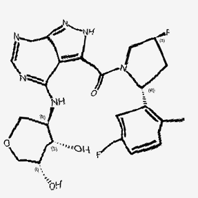 Cc1ccc(F)cc1[C@H]1C[C@H](F)CN1C(=O)c1[nH]nc2ncnc(N[C@@H]3COC[C@@H](O)[C@H]3O)c12